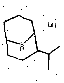 CC(C)C1CCC2BC1CCC2.[LiH]